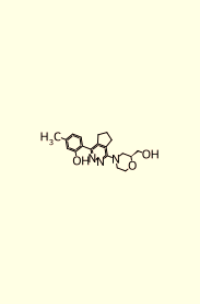 Cc1ccc(-c2nnc(N3CCO[C@H](CO)C3)c3c2CCC3)c(O)c1